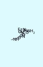 CCCNCCCOc1ccc2c(N(c3cnn(CC(N)=O)c3)c3cccc(F)c3F)ncnc2c1